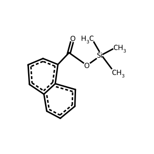 C[Si](C)(C)OC(=O)c1cccc2ccccc12